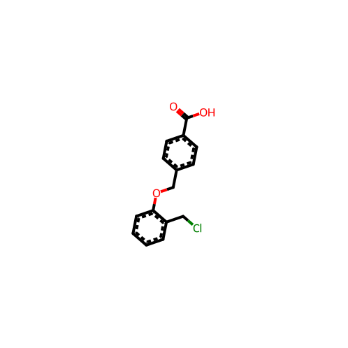 O=C(O)c1ccc(COc2ccccc2CCl)cc1